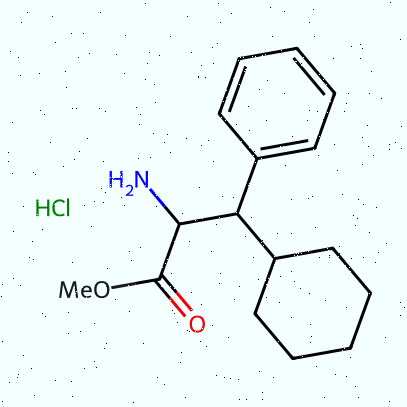 COC(=O)C(N)C(c1ccccc1)C1CCCCC1.Cl